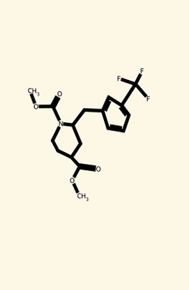 COC(=O)C1CCN(C(=O)OC)C(Cc2cccc(C(F)(F)F)c2)C1